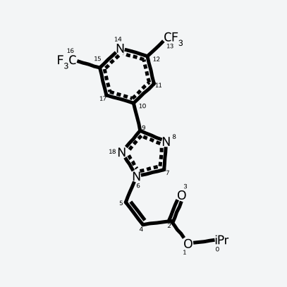 CC(C)OC(=O)/C=C\n1cnc(-c2cc(C(F)(F)F)nc(C(F)(F)F)c2)n1